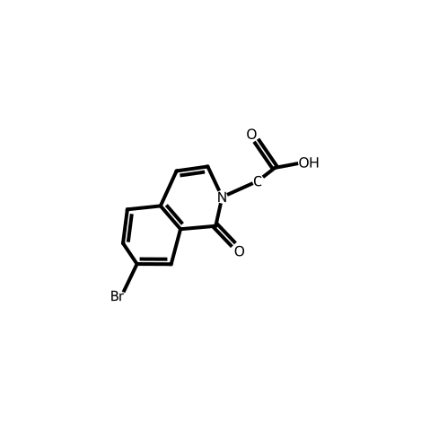 O=C(O)Cn1ccc2ccc(Br)cc2c1=O